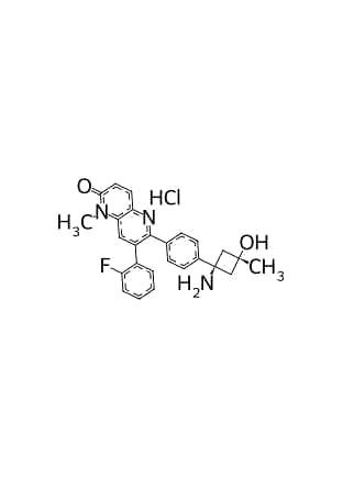 Cl.Cn1c(=O)ccc2nc(-c3ccc([C@]4(N)C[C@](C)(O)C4)cc3)c(-c3ccccc3F)cc21